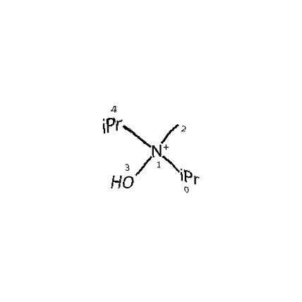 CC(C)[N+](C)(O)C(C)C